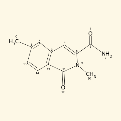 Cc1[c]c2cc(C(N)=O)n(C)c(=O)c2cc1